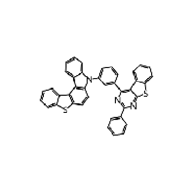 c1ccc(-c2nc(-c3cccc(-n4c5ccccc5c5c6c(ccc54)sc4ccccc46)c3)c3c(n2)sc2ccccc23)cc1